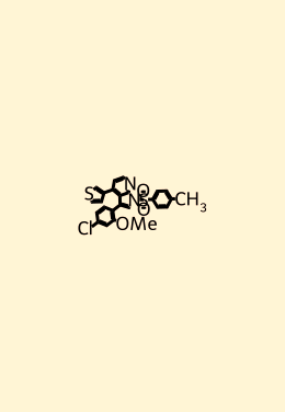 COc1cc(Cl)ccc1-c1cn(S(=O)(=O)c2ccc(C)cc2)c2nccc(-c3ccsc3)c12